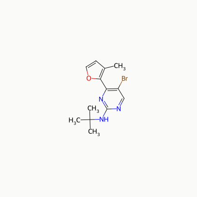 Cc1ccoc1-c1nc(NC(C)(C)C)ncc1Br